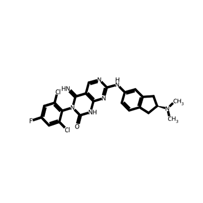 CN(C)[C@H]1Cc2ccc(Nc3ncc4c(=N)n(-c5c(Cl)cc(F)cc5Cl)c(=O)[nH]c4n3)cc2C1